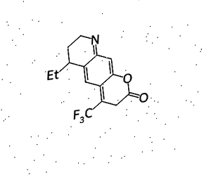 CCC1CCN=c2cc3c(cc21)=C(C(F)(F)F)CC(=O)O3